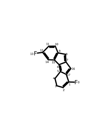 FC1=CCCC2=C3C(=Cc4ccc(F)cc43)C=C12